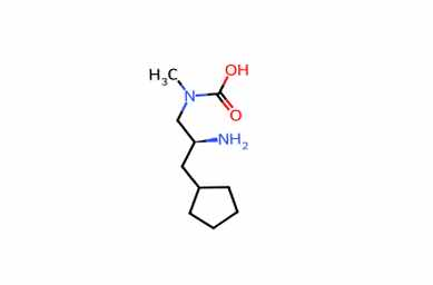 CN(C[C@@H](N)CC1CCCC1)C(=O)O